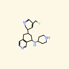 FCC1=CC(C2Cc3ccncc3C(NC3CCNCC3)C2)CN=C1